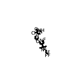 Cc1nn(CCC(F)(F)F)c(C)c1-c1cc(F)nc(O[C@@H]2CCN(c3cn[nH]c(=O)c3Cl)C2)c1